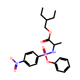 CCC(CC)COC(=O)C(C)NP(=O)(Oc1ccccc1)c1ccc([N+](=O)[O-])cc1